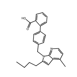 CCCCc1cc2c(C)ccnc2n1Cc1ccc(-c2ccccc2C(=O)O)cc1